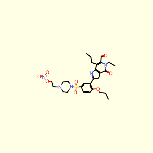 CCCOc1ccc(S(=O)(=O)N2CCN(CCO[N+](=O)[O-])CC2)cc1C1=Nc2c(CCC)c(C=O)n(CC)c(=O)c2C1